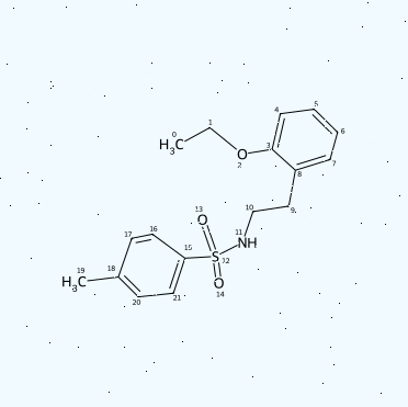 CCOc1ccccc1CCNS(=O)(=O)c1ccc(C)cc1